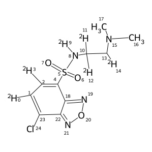 [2H]c1c([2H])c(S(=O)(=O)N([2H])C([2H])([2H])C([2H])N(C)C)c2nonc2c1Cl